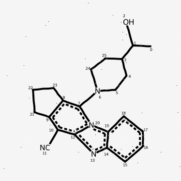 CC(O)C1CCN(c2c3c(c(C#N)c4nc5ccccc5n24)CCC3)CC1